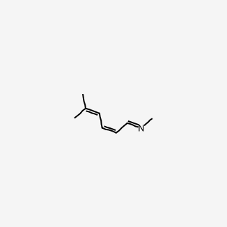 C/N=C/C=C\C=C(C)C